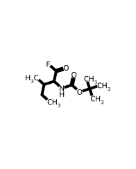 CCC(C)C(NC(=O)OC(C)(C)C)C(=O)F